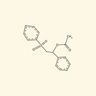 CC(=O)OC(CS(=O)(=O)c1ccccc1)c1ccccc1